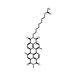 CCC(C)C(=O)OCCCCCCCCN1C(=O)c2ccc3c4c(C)cc5c6c(ccc(c7c(C)cc(c2c37)C1=O)c64)C(=O)N(C)C5=O